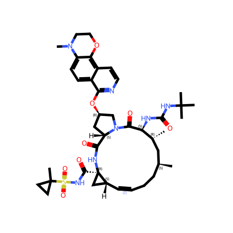 C[C@H]1CC/C=C\[C@@H]2C[C@@]2(C(=O)NS(=O)(=O)C2(C)CC2)NC(=O)[C@@H]2C[C@@H](Oc3nccc4c5c(ccc34)N(C)CCO5)CN2C(=O)[C@@H](NC(=O)NC(C)(C)C)[C@H](C)C1